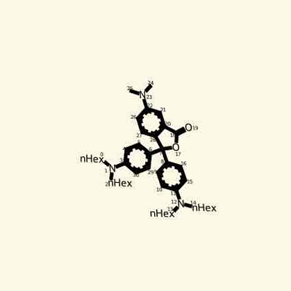 CCCCCCN(CCCCCC)c1ccc(C2(c3ccc(N(CCCCCC)CCCCCC)cc3)OC(=O)c3cc(N(C)C)ccc32)cc1